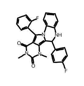 Cn1c(=O)c2c(-c3ccccc3F)n3c(c2n(C)c1=O)C(c1ccc(F)cc1)Nc1ccccc1-3